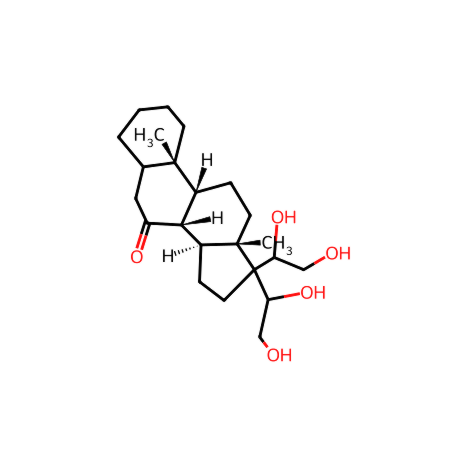 C[C@]12CCCCC1CC(=O)[C@@H]1[C@H]2CC[C@@]2(C)[C@H]1CCC2(C(O)CO)C(O)CO